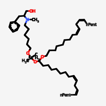 CCCCC/C=C\C/C=C\CCCCCCCCOC(CCCCCCC/C=C\C/C=C\CCCCC)O[Si](C)(C)OCCCCCCN(C)C(CO)Cc1ccccc1